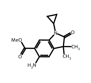 COC(=O)c1cc2c(cc1N)C(C)(C)C(=O)N2C1CC1